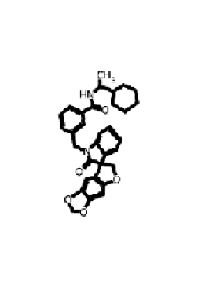 CC(NC(=O)c1cccc(CN2C(=O)C3(COc4cc5c(cc43)OCO5)c3ccccc32)c1)C1CCCCC1